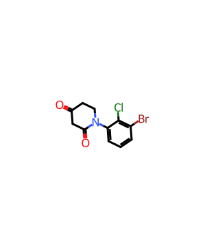 O=C1CCN(c2cccc(Br)c2Cl)C(=O)C1